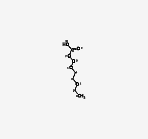 CCOCCOOOC(=O)O